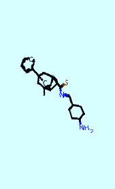 CC12CC3CC(c4ccccc4)(CC1C3C(=S)/N=C/C1CCC(N)CC1)C2